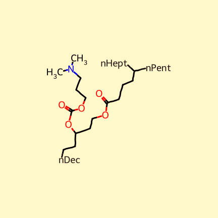 CCCCCCCCCCCCC(CCOC(=O)CCCC(CCCCC)CCCCCCC)OC(=O)OCCCN(C)C